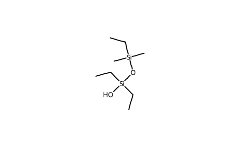 CC[Si](C)(C)O[Si](O)(CC)CC